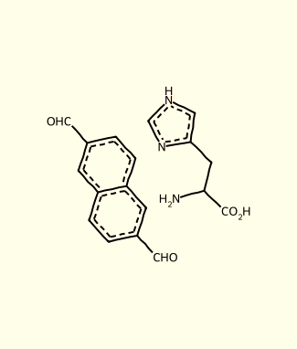 NC(Cc1c[nH]cn1)C(=O)O.O=Cc1ccc2cc(C=O)ccc2c1